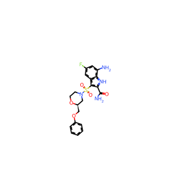 NC(=O)c1[nH]c2c(N)cc(F)cc2c1S(=O)(=O)N1CCO[C@H](COc2ccccc2)C1